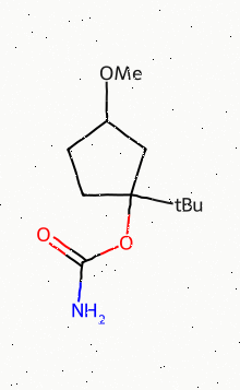 COC1CCC(OC(N)=O)(C(C)(C)C)C1